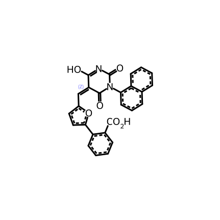 O=C(O)c1ccccc1-c1ccc(/C=C2\C(=O)N(c3cccc4ccccc34)C(=O)N=C2O)o1